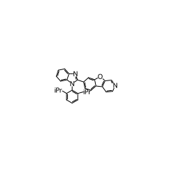 CC(C)c1cccc(C(C)C)c1-n1c(-c2ccc3c(c2)oc2cnccc23)nc2ccccc21